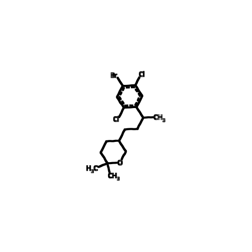 CC(CCC1CCC(C)(C)OC1)c1cc(Cl)c(Br)cc1Cl